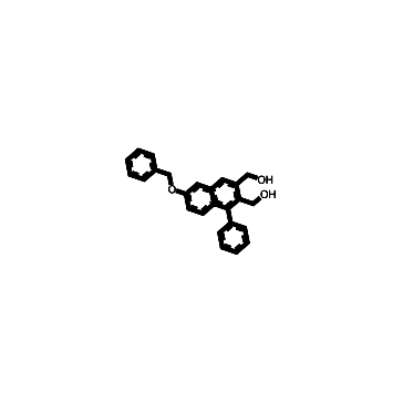 OCc1cc2cc(OCc3ccccc3)ccc2c(-c2ccccc2)c1CO